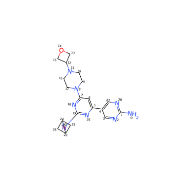 Nc1ncc(-c2cc(N3CCN(C4COC4)CC3)nc(N3CC4CC3C4)n2)cn1